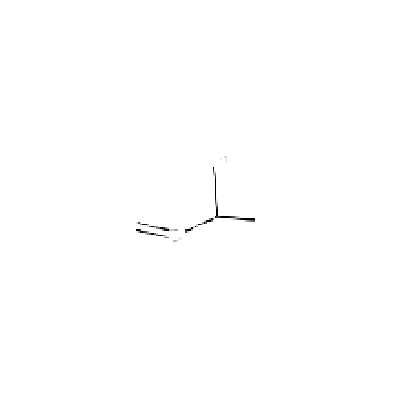 C=[SiH]C(CC)C(C)C